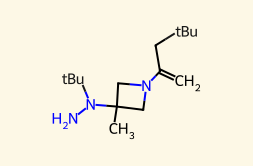 C=C(CC(C)(C)C)N1CC(C)(N(N)C(C)(C)C)C1